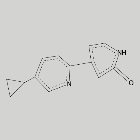 O=c1cc(-c2ccc(C3CC3)cn2)cc[nH]1